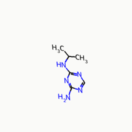 CC(C)Nc1ncnc(N)n1